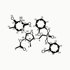 CC(=O)O[C@@H]1[C@H](C)[C@@H](CCP(=O)(Oc2ccccc2Cl)Oc2ccccc2Cl)O[C@H]1n1cc(C)c(=O)[nH]c1=O